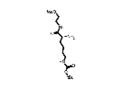 COCCNC(=O)[C@@H](N)CCCCNC(=O)OC(C)(C)C